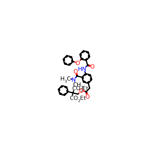 CCOC(=O)C(COC(=O)Cc1ccc(NC(=O)c2ccccc2Oc2ccccc2)c(C(=O)N(C)C)c1)(C(=O)OCC)c1ccccc1